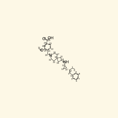 CC/C(=C\c1ccccc1)[C@@H]1C[C@H]1NC1CC2(CCN(Cc3ccc(C(=O)O)cc3OC)CC2)C1